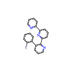 Ic1ccccc1-c1cccnc1-c1cccc(-c2ccccn2)n1